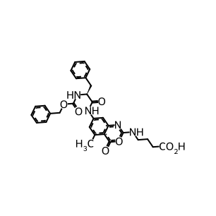 Cc1cc(NC(=O)[C@H](Cc2ccccc2)NC(=O)OCc2ccccc2)cc2nc(NCCCC(=O)O)oc(=O)c12